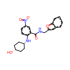 O=C(NCc1cc2ccccc2o1)c1cc([N+](=O)[O-])ccc1N[C@H]1CC[C@@H](O)CC1